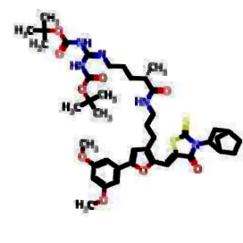 COc1cc(OC)cc(-c2cc(CCCNC(=O)[C@@H](C)CCCN=C(NC(=O)OC(C)(C)C)NC(=O)OC(C)(C)C)c(/C=C3\SC(=S)N(C4CC5CCC4C5)C3=O)o2)c1